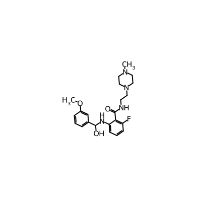 COc1cccc(C(O)Nc2cccc(F)c2C(=O)NCCN2CCN(C)CC2)c1